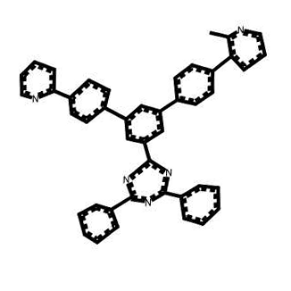 Cc1ncccc1-c1ccc(-c2cc(-c3ccc(-c4ccccn4)cc3)cc(-c3nc(-c4ccccc4)nc(-c4ccccc4)n3)c2)cc1